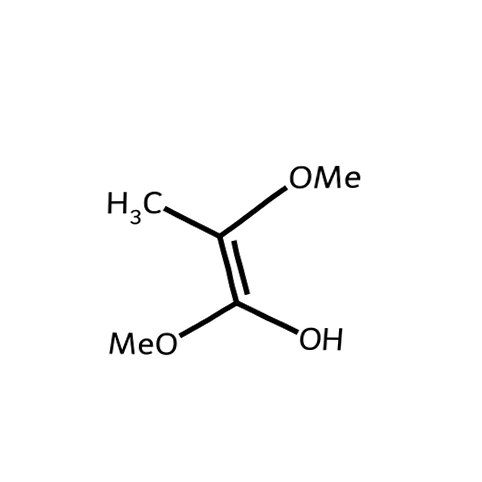 COC(C)=C(O)OC